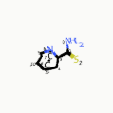 NC(=S)C1CC2CCN1CC2